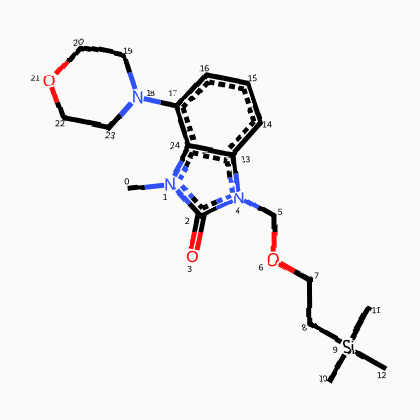 Cn1c(=O)n(COCC[Si](C)(C)C)c2cccc(N3CCOCC3)c21